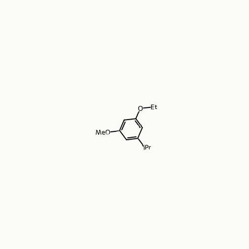 [CH2]C(C)c1cc(OC)cc(OCC)c1